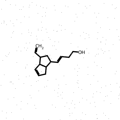 C=CC1CC(/C=C/CCO)C2CC=CC12